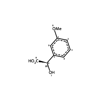 COc1cccc([C@@H](O)C(=O)O)c1